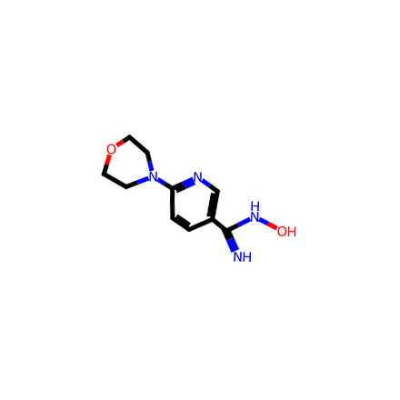 N=C(NO)c1ccc(N2CCOCC2)nc1